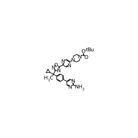 CC(C)(C)OC(=O)N1CCN(c2cnc(-c3nc(C(C)(c4ccc(-c5cnc(N)nc5)cc4)C4CC4)no3)cn2)CC1